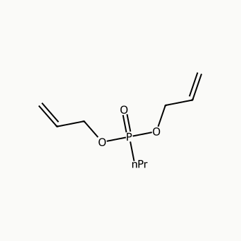 C=CCOP(=O)(CCC)OCC=C